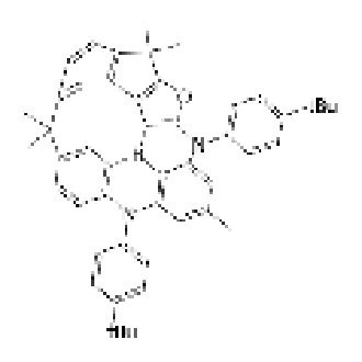 Cc1cc2c3c(c1)N(c1ccc(C(C)(C)C)cc1)c1oc4c5c1B3c1cc(ccc1N2c1ccc(C(C)(C)C)cc1)C(C)(C)c1ccc(c-5c1)C4(C)C